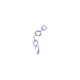 N#CCC1(I)CCN(Cc2ccc(N3CCCC3)cc2)CC1